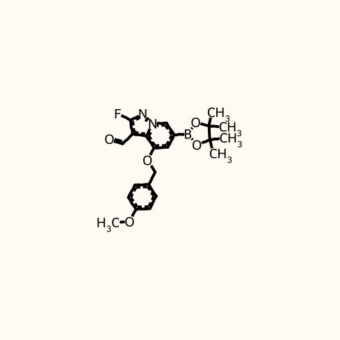 COc1ccc(COc2cc(B3OC(C)(C)C(C)(C)O3)cn3nc(F)c(C=O)c23)cc1